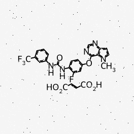 Cn1ccc2ncnc(Oc3ccc(NC(=O)Nc4cccc(C(F)(F)F)c4)c(F)c3)c21.O=C(O)C=CC(=O)O